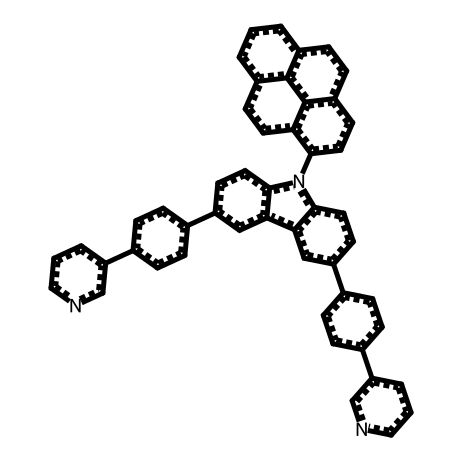 c1cncc(-c2ccc(-c3ccc4c(c3)c3cc(-c5ccc(-c6cccnc6)cc5)ccc3n4-c3ccc4ccc5cccc6ccc3c4c56)cc2)c1